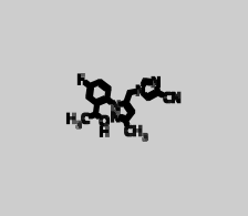 Cc1cc(Cn2cnc(C#N)c2)n(-c2ccc(F)cc2C(C)O)n1